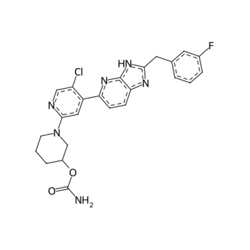 NC(=O)OC1CCCN(c2cc(-c3ccc4nc(Cc5cccc(F)c5)[nH]c4n3)c(Cl)cn2)C1